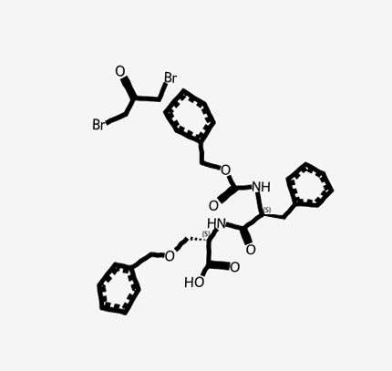 O=C(CBr)CBr.O=C(N[C@@H](Cc1ccccc1)C(=O)N[C@@H](COCc1ccccc1)C(=O)O)OCc1ccccc1